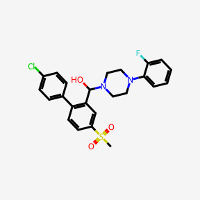 CS(=O)(=O)c1ccc(-c2ccc(Cl)cc2)c(C(O)N2CCN(c3ccccc3F)CC2)c1